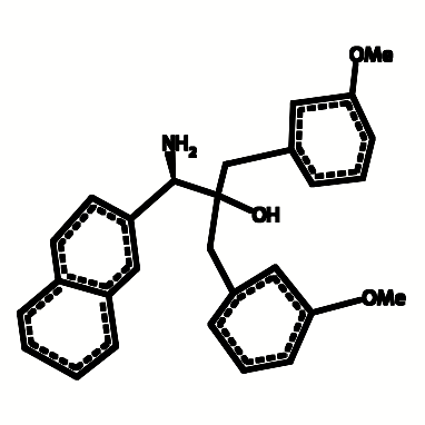 COc1cccc(CC(O)(Cc2cccc(OC)c2)[C@H](N)c2ccc3ccccc3c2)c1